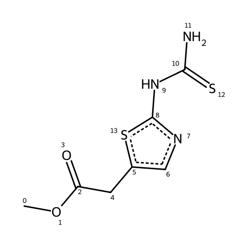 COC(=O)Cc1cnc(NC(N)=S)s1